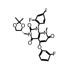 Cn1c(=O)cc(Oc2cccc(F)c2)c2c(=O)n(C[C@@H]3COC(C)(C)O3)c(=O)n(-c3ccc(I)cc3F)c21